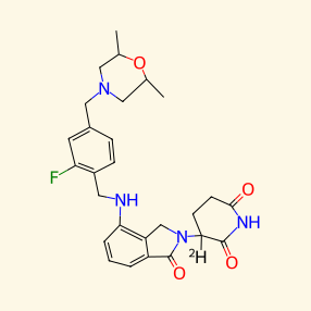 [2H]C1(N2Cc3c(NCc4ccc(CN5CC(C)OC(C)C5)cc4F)cccc3C2=O)CCC(=O)NC1=O